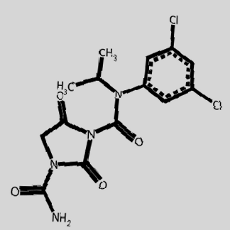 CC(C)N(C(=O)N1C(=O)CN(C(N)=O)C1=O)c1cc(Cl)cc(Cl)c1